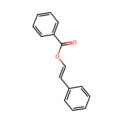 O=C(OC=Cc1ccccc1)c1ccccc1